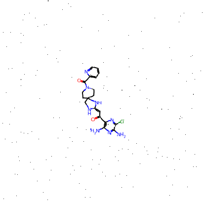 Nc1nc(N)c(C(=O)/C=C2\NCC3(CCN(C(=O)c4ccccn4)CC3)N2)nc1Cl